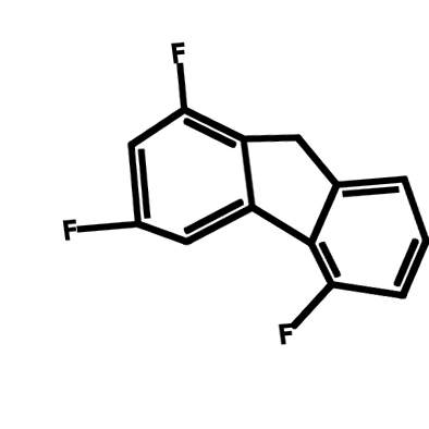 Fc1cc(F)c2c(c1)-c1c(F)cccc1C2